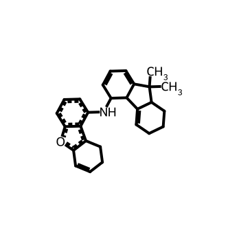 CC1(C)C2=CC=CC(Nc3cccc4oc5c(c34)CCC=C5)C2C2=CCCCC21